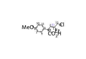 CC/C(=C\[C@@H](C(=O)O)c1ccc(OC)cc1)CCl